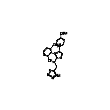 COc1ccc(-c2ccc(CCc3nnn[nH]3)n2-c2c(C)cccc2C(=O)O)cc1